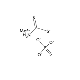 NC(=S)[S-].[Mo+4].[O-]P([O-])([O-])=S